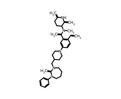 C=Cc1ccc(N2CCC(CN3CCCCN(c4ccccc4)C3=C)CC2)cc1C(=C)N(C)C1CCC(=C)NC1=C